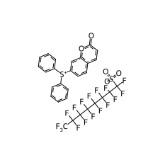 O=S(=O)([O-])C(F)(F)C(F)(F)C(F)(F)C(F)(F)C(F)(F)C(F)(F)C(F)(F)C(F)(F)F.O=c1ccc2ccc([S+](c3ccccc3)c3ccccc3)cc2o1